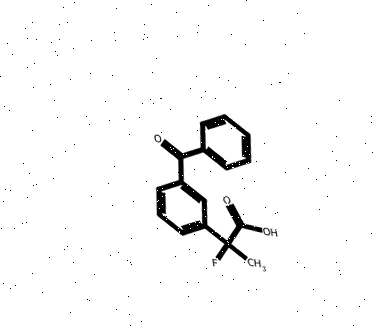 CC(F)(C(=O)O)c1cccc(C(=O)c2ccccc2)c1